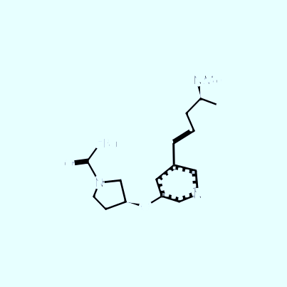 CN[C@@H](C)C/C=C/c1cncc(O[C@H]2CCN(C(=O)C(C)(C)C)C2)c1